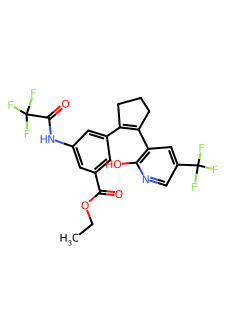 CCOC(=O)c1cc(NC(=O)C(F)(F)F)cc(C2=C(c3cc(C(F)(F)F)cnc3O)CCC2)c1